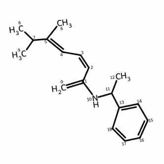 C=C(/C=C\C=C(/C)C(C)C)NC(C)c1ccccc1